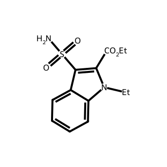 CCOC(=O)c1c(S(N)(=O)=O)c2ccccc2n1CC